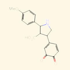 COc1ccc(C2NCC(C3=CC(=O)C(=O)C=C3)C2C(=O)O)cc1